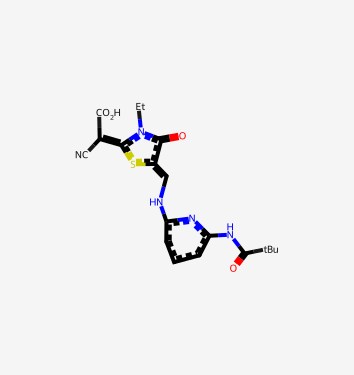 CCn1c(=C(C#N)C(=O)O)sc(=CNc2cccc(NC(=O)C(C)(C)C)n2)c1=O